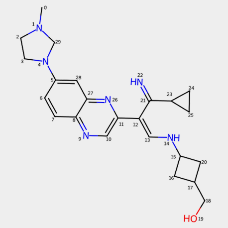 CN1CCN(c2ccc3ncc(/C(=C/NC4CC(CO)C4)C(=N)C4CC4)nc3c2)C1